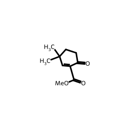 COC(=O)C1=CC(C)(C)CCC1=O